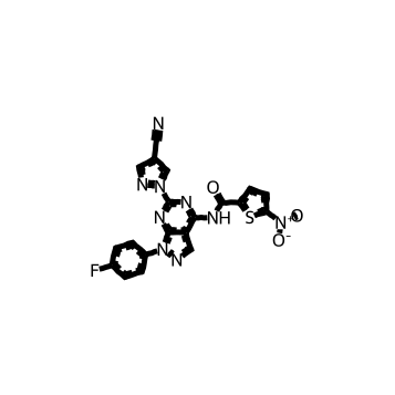 N#Cc1cnn(-c2nc(NC(=O)c3ccc([N+](=O)[O-])s3)c3cnn(-c4ccc(F)cc4)c3n2)c1